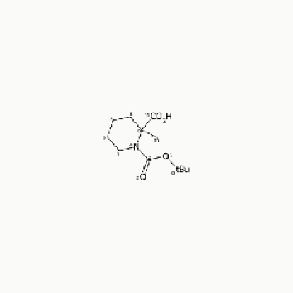 CC(C)(C)OC(=O)N1CCCCC1(C)C(=O)O